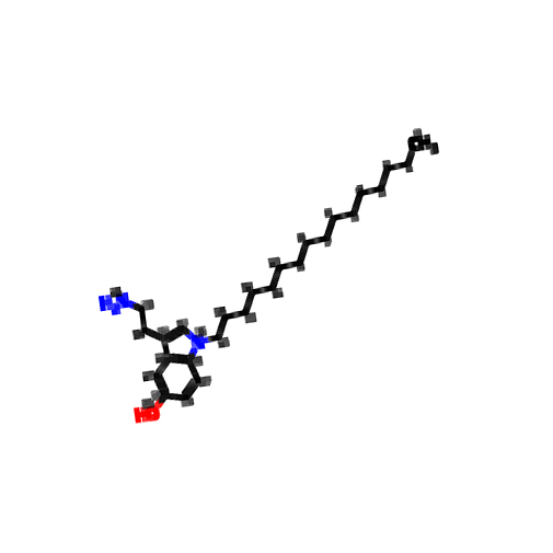 CCCCCCCCCCCCCCCCn1cc(CCN)c2cc(O)ccc21